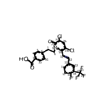 O=C(O)c1ccc(CCn2c(/C=C/c3ccc(F)c(C(F)(F)F)c3)c(Cl)cc(Cl)c2=O)cc1